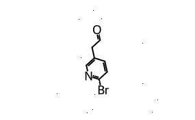 O=CCc1ccc(Br)nc1